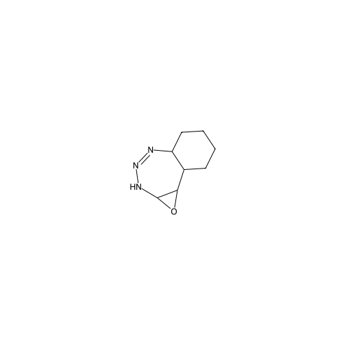 C1CCC2C(C1)N=NNC1OC12